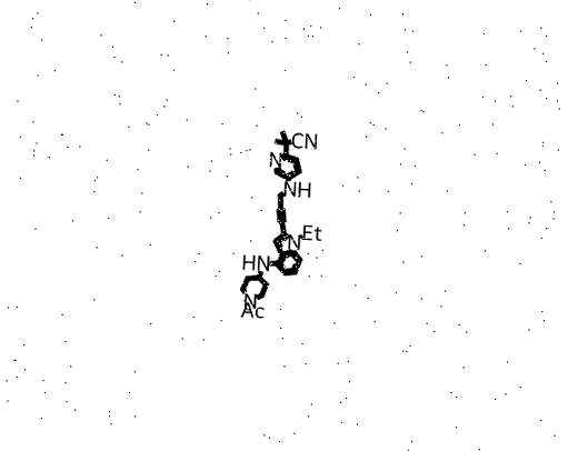 CCn1c(C#CCNc2ccc(C(C)(C)C#N)nc2)cc2c(NC3CCN(C(C)=O)CC3)cccc21